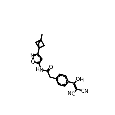 CC12CC(c3cc(NC(=O)Cc4ccc(C(O)=C(C#N)C#N)cc4)on3)(C1)C2